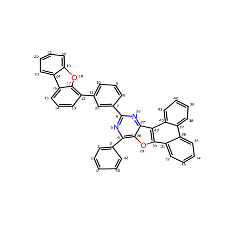 c1ccc(-c2nc(-c3cccc(-c4cccc5c4oc4ccccc45)c3)nc3c2oc2c4ccccc4c4ccccc4c32)cc1